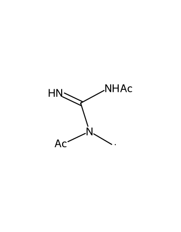 [CH2]N(C(=N)NC(C)=O)C(C)=O